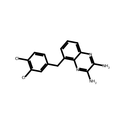 Nc1nc2cccc(Cc3ccc(Cl)c(Cl)c3)c2nc1N